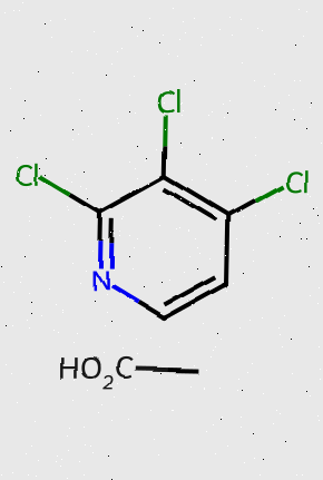 CC(=O)O.Clc1ccnc(Cl)c1Cl